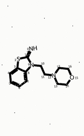 N=c1sc2ccccc2n1CCN1CCOCC1